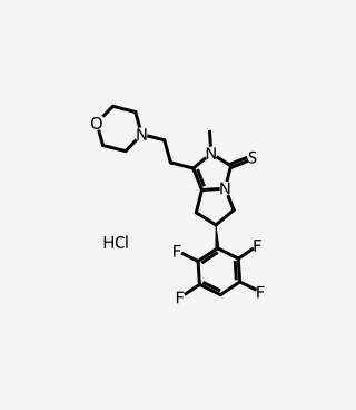 Cl.Cn1c(CCN2CCOCC2)c2n(c1=S)C[C@@H](c1c(F)c(F)cc(F)c1F)C2